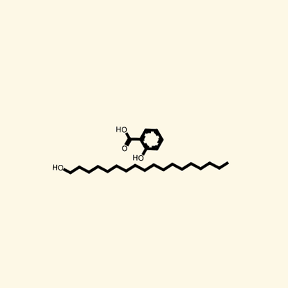 CCCCCCCCCCCCCCCCCCO.O=C(O)c1ccccc1O